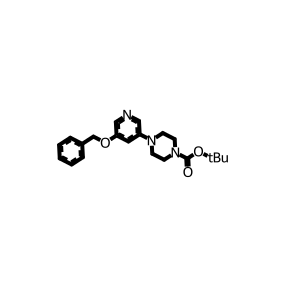 CC(C)(C)OC(=O)N1CCN(c2cncc(OCc3ccccc3)c2)CC1